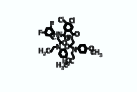 C=CCN(C(=O)CNC(=O)c1cc(Cl)c(Cl)cc1C(=O)N[C@@H](Cc1cc(F)cc(F)c1)C(=O)N(CC=C)c1ccc(OC)cc1)c1ccc(OC)cc1